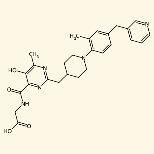 Cc1cc(Cc2cccnc2)ccc1N1CCC(Cc2nc(C)c(O)c(C(=O)NCC(=O)O)n2)CC1